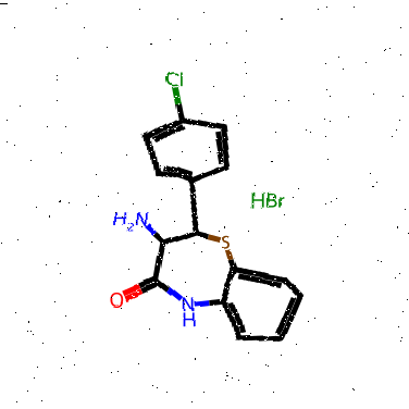 Br.NC1C(=O)Nc2ccccc2SC1c1ccc(Cl)cc1